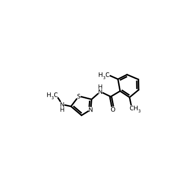 CNc1cnc(NC(=O)c2c(C)cccc2C)s1